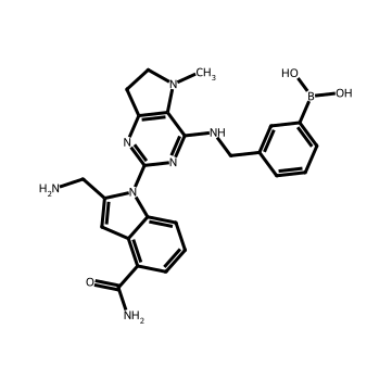 CN1CCc2nc(-n3c(CN)cc4c(C(N)=O)cccc43)nc(NCc3cccc(B(O)O)c3)c21